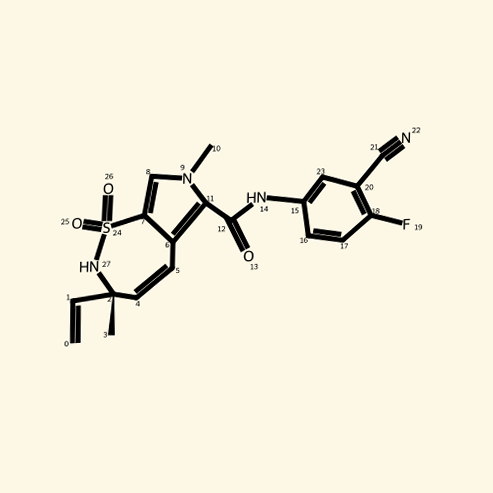 C=C[C@@]1(C)C=Cc2c(cn(C)c2C(=O)Nc2ccc(F)c(C#N)c2)S(=O)(=O)N1